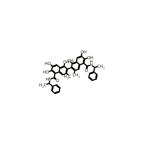 Cc1cc2c(C(=O)NC(C)c3ccccc3)c(O)c(O)cc2c(O)c1-c1c(C)cc2c(C(=O)NC(C)c3ccccc3)c(O)c(O)cc2c1O